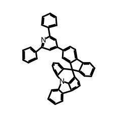 c1ccc(-c2cc(-c3ccc4c(c3)C3(c5ccccc5-4)c4ccccc4-n4c5ccccc5c5cccc3c54)cc(-c3ccccc3)n2)cc1